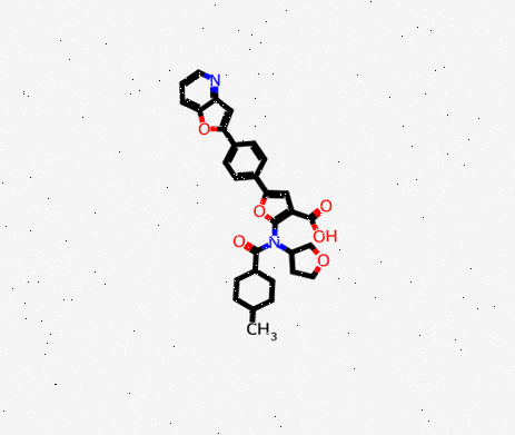 CC1CCC(C(=O)N(c2oc(-c3ccc(-c4cc5ncccc5o4)cc3)cc2C(=O)O)C2CCOC2)CC1